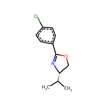 CC(C)[C@H]1COC(c2ccc(Cl)cc2)=N1